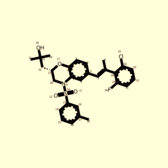 C/C(=C\c1ccc2c(c1)N(S(=O)(=O)c1cccc(C)c1)C[C@H](CC(C)(C)O)O2)c1c(F)cccc1Cl